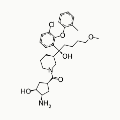 COCCCC[C@@](O)(c1cccc(Cl)c1Oc1ccccc1C)[C@@H]1CCCN(C(=O)[C@H]2C[C@@H](N)[C@@H](O)C2)C1